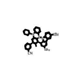 Cc1c(-c2cccc(C#N)c2)cc2c3c1-c1cc(C(C)(C)C)cc4c5cc(C(C)(C)C)ccc5n(c14)B3c1ccccc1N2c1ccccc1